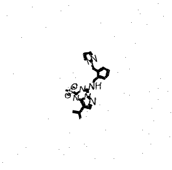 CC(C)c1cnn2c(NCc3ccccc3Cn3cccn3)nc(S(C)(=O)=O)nc12